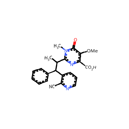 COc1c(C(=O)O)nc(C(C)C(c2ccccc2)c2cccnc2C#N)n(C)c1=O